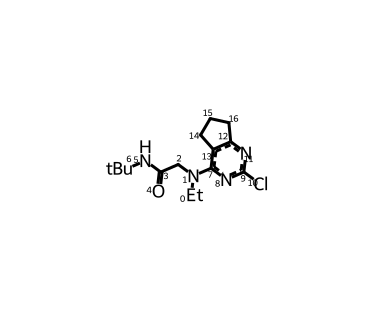 CCN(CC(=O)NC(C)(C)C)c1nc(Cl)nc2c1CCC2